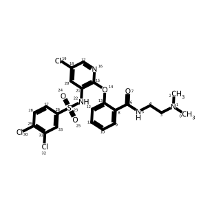 CN(C)CCNC(=O)c1ccccc1Oc1ncc(Cl)cc1NS(=O)(=O)c1ccc(Cl)c(Cl)c1